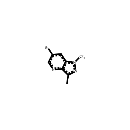 Cc1nn(C(F)(F)F)c2cc(Br)cnc12